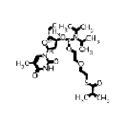 CC[C@H]1O[C@@H](n2cc(C)c(=O)[nH]c2=O)CC1OP(OCCOCCSC(=O)C(C)C)N(C(C)C)C(C)C